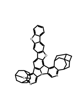 c1ccc2c(c1)oc1cc3c(cc12)oc1c3cc2c3c4c(ncc3n3c5cnc6c(c5c1c23)C1CC2CC3CC6CC32C1)C1CC2CC(C1)CC4C2